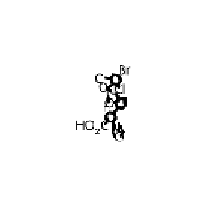 O=C(O)c1cc(F)c(-c2cccc3c2OCN(C(=O)c2c(Cl)cc(Br)cc2Cl)C3)cc1N1CCOCC1